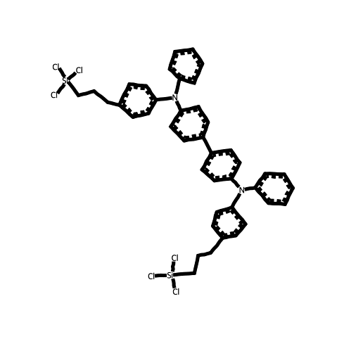 Cl[Si](Cl)(Cl)CCCc1ccc(N(c2ccccc2)c2ccc(-c3ccc(N(c4ccccc4)c4ccc(CCC[Si](Cl)(Cl)Cl)cc4)cc3)cc2)cc1